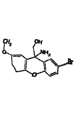 COC1=CC2=C(CC1)Oc1ccc(Br)cc1C2(N)CO